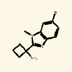 Cn1c(C2(N)CCC2)nc2ccc(Br)cc21